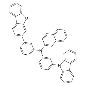 c1cc(-c2ccc3c(c2)oc2ccccc23)cc(N(c2cccc(-n3c4ccccc4c4ccccc43)c2)c2ccc3ccccc3c2)c1